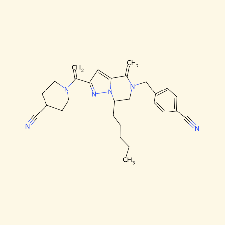 C=C(c1cc2n(n1)C(CCCCC)CN(Cc1ccc(C#N)cc1)C2=C)N1CCC(C#N)CC1